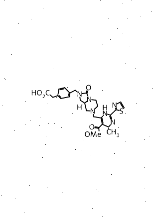 COC(=O)C1=C(CN2CCN3C(=O)N(Cc4ccc(CC(=O)O)cc4)C[C@@H]3C2)NC(c2nccs2)=N[C@H]1C